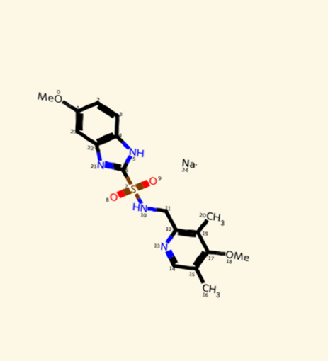 COc1ccc2[nH]c(S(=O)(=O)NCc3ncc(C)c(OC)c3C)nc2c1.[Na]